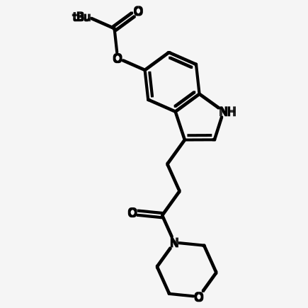 CC(C)(C)C(=O)Oc1ccc2[nH]cc(CCC(=O)N3CCOCC3)c2c1